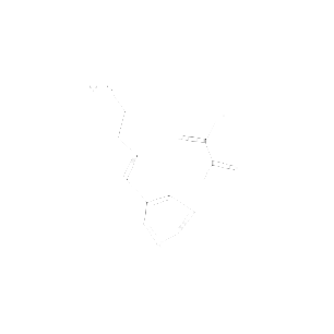 CNCC/C=C/c1cccnc1.O=C(O)C(=O)O